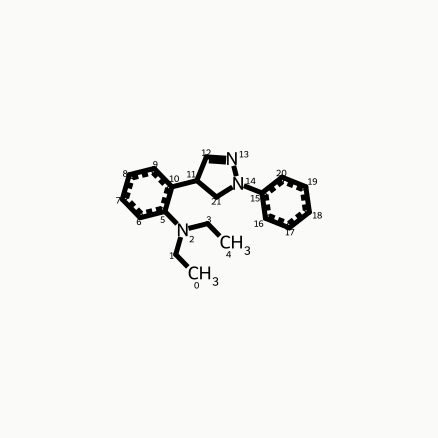 CCN(CC)c1ccccc1C1C=NN(c2ccccc2)C1